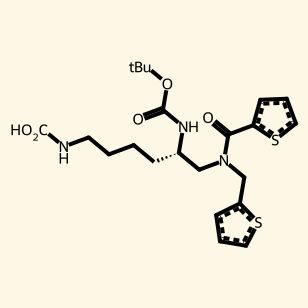 CC(C)(C)OC(=O)N[C@@H](CCCCNC(=O)O)CN(Cc1cccs1)C(=O)c1cccs1